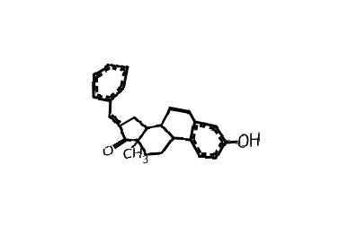 CC12CCC3c4ccc(O)cc4CCC3C1C/C(=C\c1ccccc1)C2=O